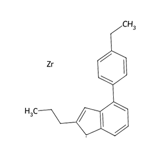 CCCC1=Cc2c(cccc2-c2ccc(CC)cc2)[CH]1.[Zr]